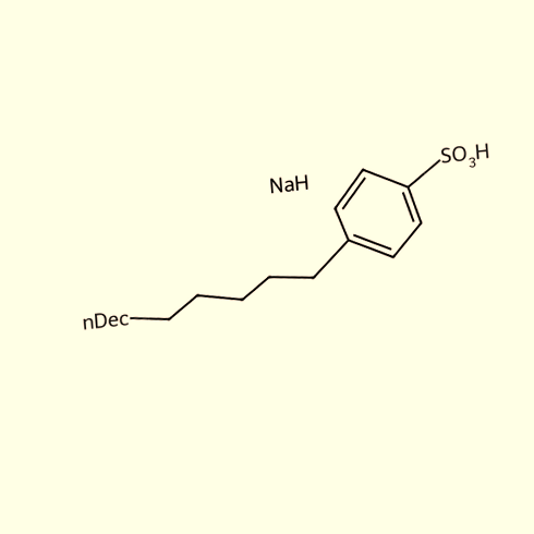 CCCCCCCCCCCCCCCc1ccc(S(=O)(=O)O)cc1.[NaH]